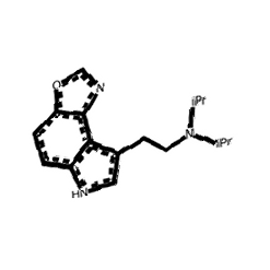 CC(C)N(CCc1c[nH]c2ccc3ocnc3c12)C(C)C